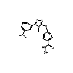 CN(C)c1cccc(-c2nnc(Sc3ccc(C(=O)NO)cc3)n2C)c1